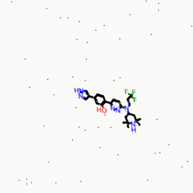 CC1(C)CC(N(CCC(F)(F)F)c2ccc(-c3ccc(-c4cn[nH]c4)cc3O)nn2)CC(C)(C)N1